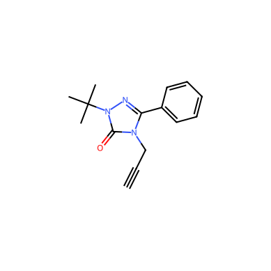 C#CCn1c(-c2ccccc2)nn(C(C)(C)C)c1=O